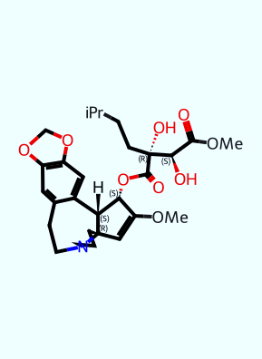 COC(=O)[C@@H](O)[C@](O)(CCC(C)C)C(=O)O[C@@H]1C(OC)=C[C@]23CCCN2CCc2cc4c(cc2[C@H]13)OCO4